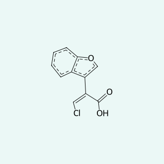 O=C(O)C(=CCl)c1coc2ccccc12